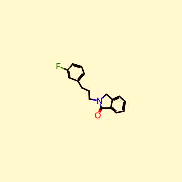 O=C1c2ccccc2CN1CCCc1cccc(F)c1